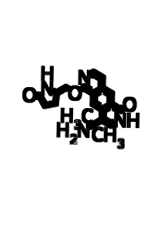 CC(C)(N)c1c[nH]c(=O)c2cc3ccnc(OCC4CCC(=O)N4)c3cc12